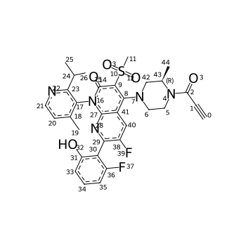 C#CC(=O)N1CCN(c2c(S(C)(=O)=O)c(=O)n(-c3c(C)ccnc3C(C)C)c3nc(-c4c(O)cccc4F)c(F)cc23)C[C@H]1C